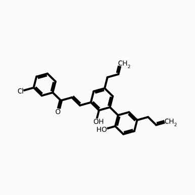 C=CCc1ccc(O)c(-c2cc(CC=C)cc(C=CC(=O)c3cccc(Cl)c3)c2O)c1